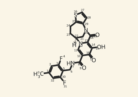 Cc1cc(F)c(CNC(=O)c2cn3c(c(O)c2=O)C(=O)N2C[C@@H]3CCc3sccc32)c(F)c1